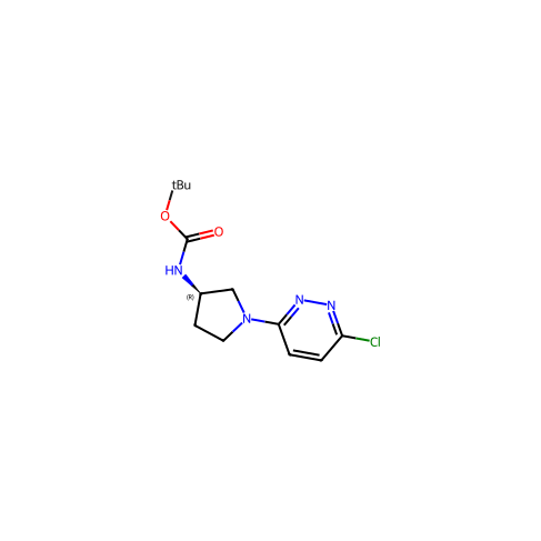 CC(C)(C)OC(=O)N[C@@H]1CCN(c2ccc(Cl)nn2)C1